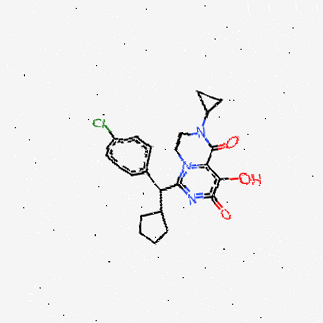 O=C1c2c(O)c(=O)nc(C(c3ccc(Cl)cc3)C3CCCC3)n2CCN1C1CC1